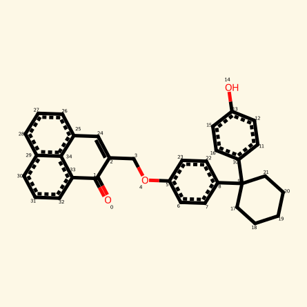 O=C1C(COc2ccc(C3(c4ccc(O)cc4)CCCCC3)cc2)=Cc2cccc3cccc1c23